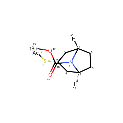 CC(=O)S[C@@H]1C[C@H]2CC[C@@H](C1)N2C(=O)OC(C)(C)C